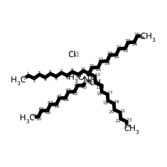 CCCCCCCCCCCCC(CCCCCCCCCCCC)(CCCCCCCCCCCC)[N+](C)(C)CCCCCCCCCCCC.[Cl-]